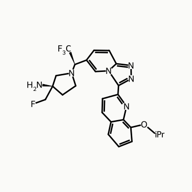 CC(C)Oc1cccc2ccc(-c3nnc4ccc([C@@H](N5CC[C@](N)(CF)C5)C(F)(F)F)cn34)nc12